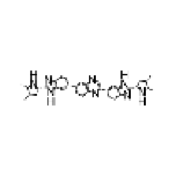 C[C@@H]1C[C@@H](c2nc3ccc(-c4ccc5nc(-c6ccc7nc([C@@H]8C[C@@H](C)[C@@H](C)N8)[nH]c7c6)cnc5c4)cc3[nH]2)N[C@@H]1C